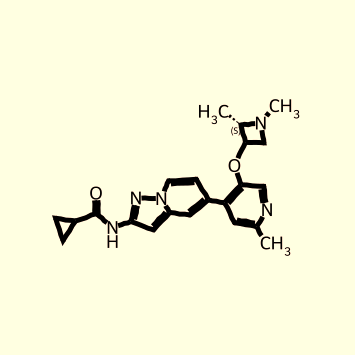 Cc1cc(-c2ccn3nc(NC(=O)C4CC4)cc3c2)c(OC2CN(C)[C@H]2C)cn1